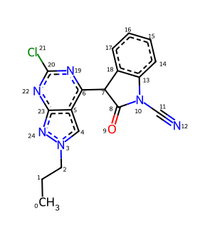 CCCn1cc2c(C3C(=O)N(C#N)c4ccccc43)nc(Cl)nc2n1